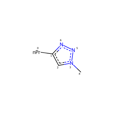 CCCc1cn(C)nn1